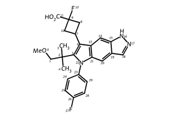 COCC(C)(C)c1c(C2CC(F)(C(=O)O)C2)c2cc3[nH]ncc3cc2n1-c1ccc(F)cc1